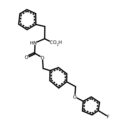 O=C(NC(Cc1ccccc1)C(=O)O)OCc1ccc(COc2ccc(F)cc2)cc1